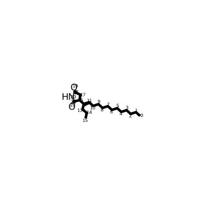 CCCCCCCCCCCC=C(CCC)C1CC(=O)NC1=O